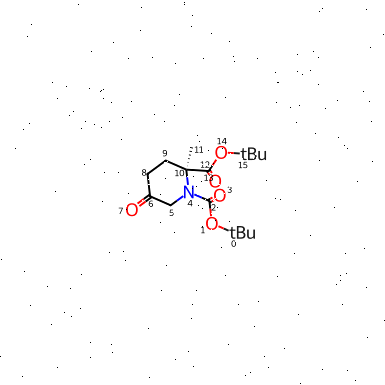 CC(C)(C)OC(=O)N1CC(=O)CC[C@@]1(C)C(=O)OC(C)(C)C